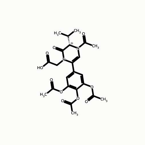 CC(=O)Oc1cc(C2=CN(C(C)=O)[C@@H](C(C)C)C(=O)N2CC(=O)O)cc(OC(C)=O)c1OC(C)=O